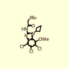 COc1c(Cl)c(Cl)c(Cl)c2nc(NC(=O)CC(C)(C)C)n(C3CCC3)c12